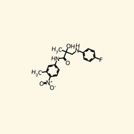 Cc1cc(NC(=O)C(C)(O)CNc2ccc(F)cc2)ccc1[N+](=O)[O-]